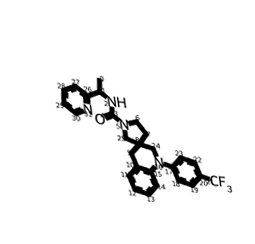 CC(NC(=O)N1CCC2(Cc3ccccc3N(c3ccc(C(F)(F)F)cc3)C2)C1)c1ccccn1